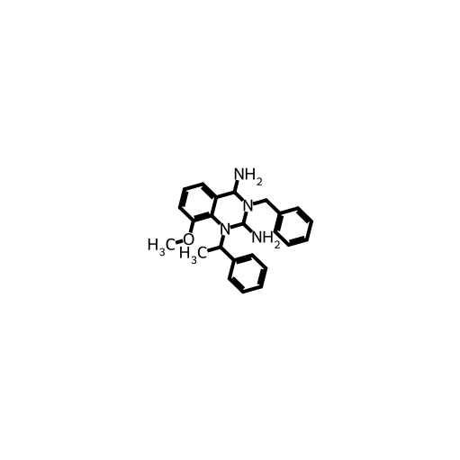 COc1cccc2c1N(C(C)c1ccccc1)C(N)N(Cc1ccccc1)C2N